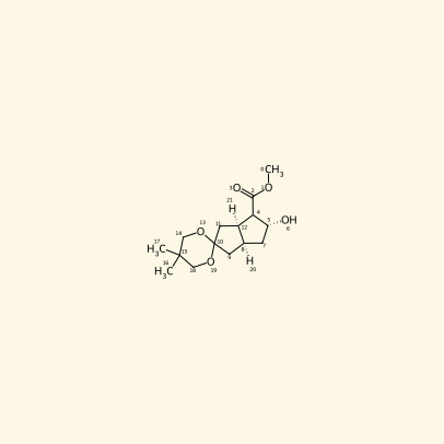 COC(=O)C1[C@H](O)C[C@H]2CC3(C[C@@H]12)OCC(C)(C)CO3